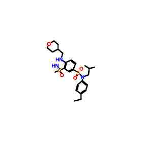 CCc1ccc(N(CC(C)C)S(=O)(=O)c2ccc(NCC3CCOCC3)c(S(C)(=N)=O)c2)cc1